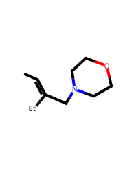 CC=C(CC)CN1CCOCC1